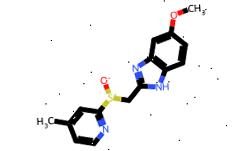 COc1ccc2[nH]c(C[S+]([O-])c3cc(C)ccn3)nc2c1